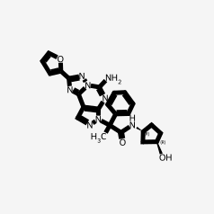 CC(C(=O)N[C@@H]1CC[C@@H](O)C1)(c1ccccc1)n1ncc2c1nc(N)n1nc(-c3ccco3)nc21